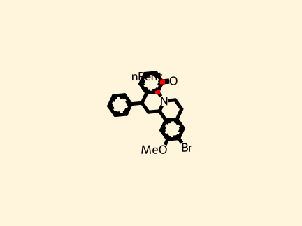 CCCCCC(=O)CN1CCc2cc(Br)c(OC)cc2C1CC(c1ccccc1)c1ccccc1